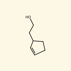 OCCC1C=CCC1